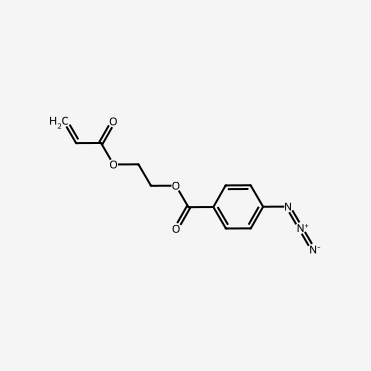 C=CC(=O)OCCOC(=O)c1ccc(N=[N+]=[N-])cc1